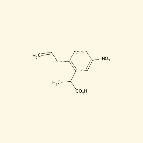 C=CCc1ccc([N+](=O)[O-])cc1C(C)C(=O)O